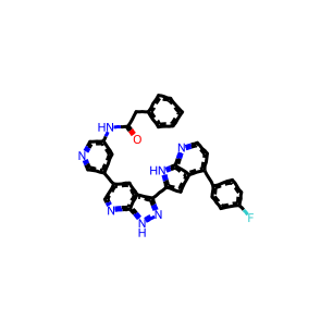 O=C(Cc1ccccc1)Nc1cncc(-c2cnc3[nH]nc(-c4cc5c(-c6ccc(F)cc6)ccnc5[nH]4)c3c2)c1